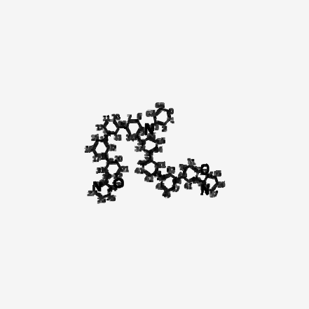 c1ccc(-n2c3ccc(-c4cccc(-c5cccc(-c6ccc7oc8cccnc8c7c6)c5)c4)cc3c3cc(-c4cccc(-c5cccc(-c6ccc7oc8cccnc8c7c6)c5)c4)ccc32)cc1